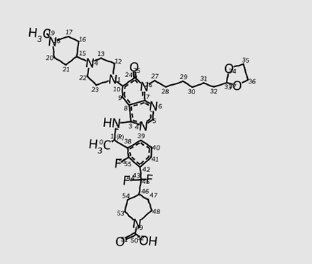 C[C@@H](Nc1ncnc2c1cc(N1CCN(C3CCN(C)CC3)CC1)c(=O)n2CCCCCCC1OCCO1)c1cccc(C(F)(F)C2CCN(C(=O)O)CC2)c1F